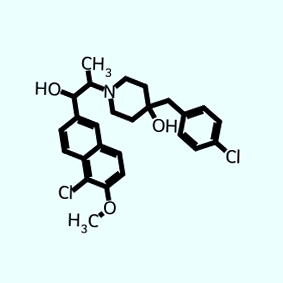 COc1ccc2cc(C(O)C(C)N3CCC(O)(Cc4ccc(Cl)cc4)CC3)ccc2c1Cl